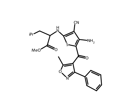 COC(=O)C(CC(C)C)Nc1sc(C(=O)c2c(-c3ccccc3)noc2C)c(N)c1C#N